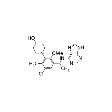 COc1c(C(C)Nc2ncnc3[nH]cnc23)cc(Cl)c(C)c1N1CCC(O)CC1